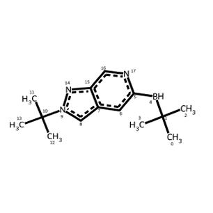 CC(C)(C)Bc1cc2cn(C(C)(C)C)nc2cn1